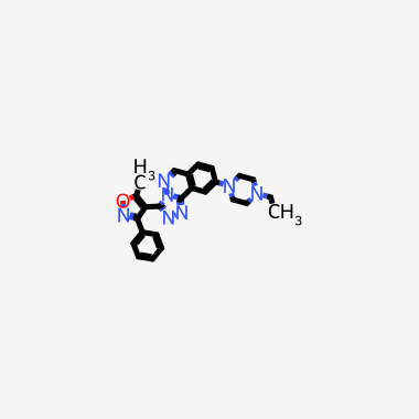 CCN1CCN(c2ccc3cnn4c(-c5c(-c6ccccc6)noc5C)nnc4c3c2)CC1